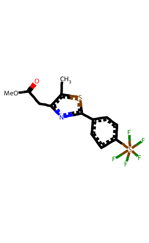 COC(=O)Cc1nc(-c2ccc(S(F)(F)(F)(F)F)cc2)sc1C